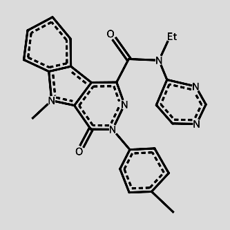 CCN(C(=O)c1nn(-c2ccc(C)cc2)c(=O)c2c1c1ccccc1n2C)c1ccncn1